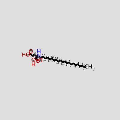 CCC=CCC=CCCC=CC=CCC=CCC=CCCC(=O)N[C@@H](CCC(=O)O)C(=O)O